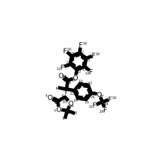 CC1(C)OC(=O)[C@H](C(C)(C(=O)Oc2c(F)c(F)c(F)c(F)c2F)c2ccc(OC(F)(F)F)cc2)O1